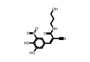 N#C/C(=C/c1cc(O)c(O)c([N+](=O)[O-])c1)C(=O)NCCCO